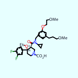 CCO[C@]1(c2ccc(F)c(F)c2)CCN(C(=O)O)C[C@@H]1C(=O)N(Cc1cc(CCCOC)cc(OCCOC)c1)C1CC1